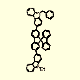 CCn1c2ccccc2c2cc(-c3ccc4c(c3)C3(c5ccccc5-c5ccccc53)c3cc(-c5ccc6c(c5)c5ccccc5n6Cc5ccccc5)ccc3-4)ccc21